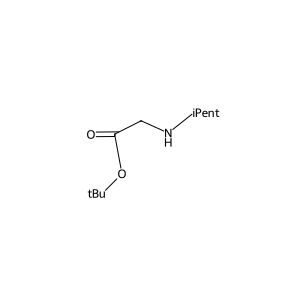 CCCC(C)NCC(=O)OC(C)(C)C